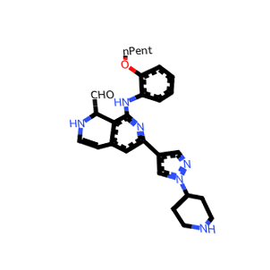 CCCCCOc1ccccc1Nc1nc(-c2cnn(C3CCNCC3)c2)cc2c1C(C=O)NC=C2